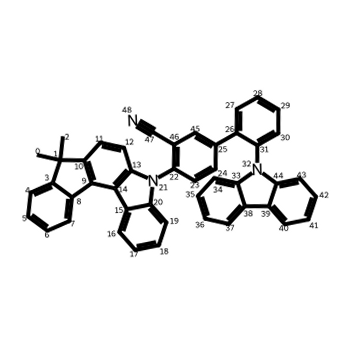 CC1(C)c2ccccc2-c2c1ccc1c2c2ccccc2n1-c1ccc(-c2ccccc2-n2c3ccccc3c3ccccc32)cc1C#N